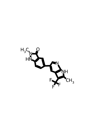 Cc1[nH]c2ncc(-c3ccc4[nH]n(C)c(=O)c4c3)cc2c1C(F)(F)F